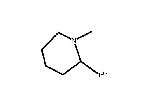 CC(C)C1CCCCN1C